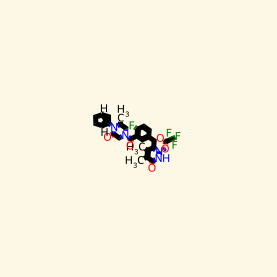 Cc1c(C)c(=O)[nH][n+](OC(=O)C(F)(F)F)c1Cc1ccc(F)c(C(=O)N2CC(=O)N(C3C[C@@H]4CC[C@@H]3C4)C(C)C2)c1